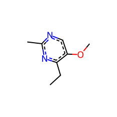 CCc1nc(C)ncc1OC